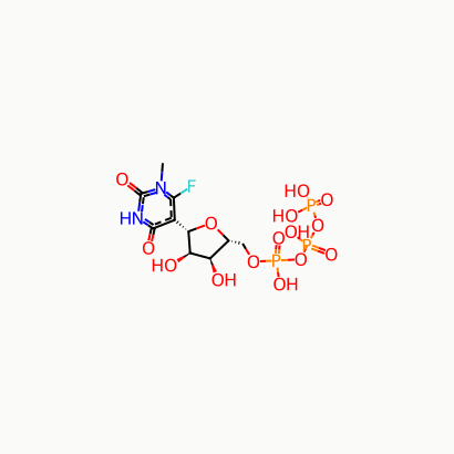 Cn1c(F)c([C@@H]2O[C@H](COP(=O)(O)OP(=O)(O)OP(=O)(O)O)[C@@H](O)[C@H]2O)c(=O)[nH]c1=O